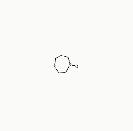 [O-][S+]1CCCSCC1